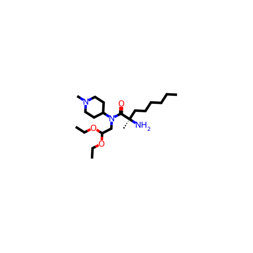 CCCCCC[C@@](C)(N)C(=O)N(CC(OCC)OCC)C1CCN(C)CC1